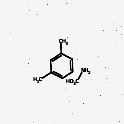 Cc1cccc(C)c1.NC(=O)O